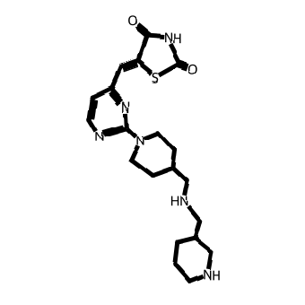 O=C1NC(=O)C(=Cc2ccnc(N3CCC(CNCC4CCCNC4)CC3)n2)S1